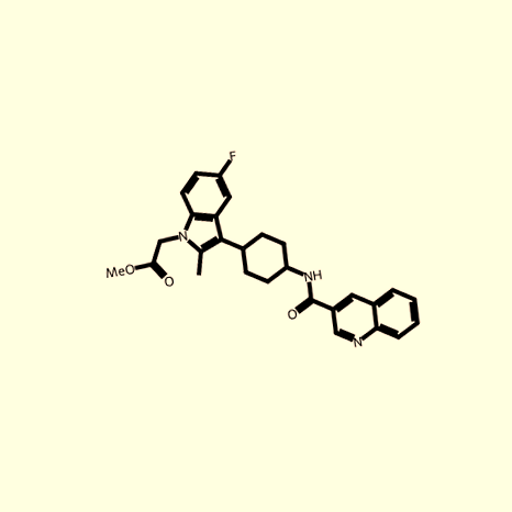 COC(=O)Cn1c(C)c(C2CCC(NC(=O)c3cnc4ccccc4c3)CC2)c2cc(F)ccc21